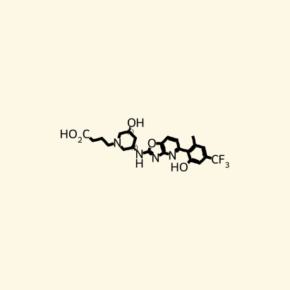 Cc1cc(C(F)(F)F)cc(O)c1-c1ccc2oc(N[C@@H]3C[C@H](O)CN(CCCC(=O)O)C3)nc2n1